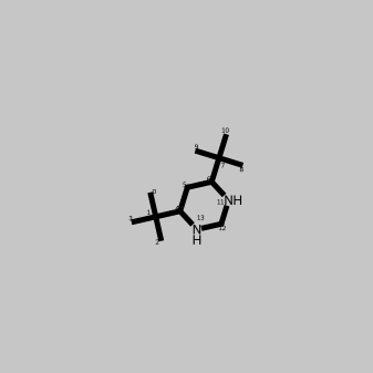 CC(C)(C)C1CC(C(C)(C)C)NCN1